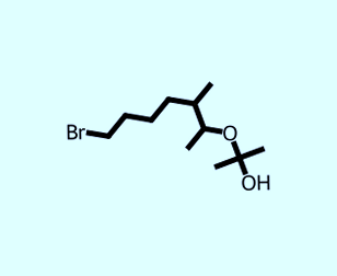 CC(CCCCBr)C(C)OC(C)(C)O